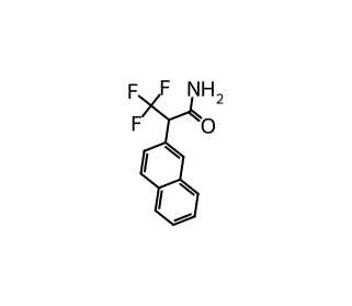 NC(=O)C(c1ccc2ccccc2c1)C(F)(F)F